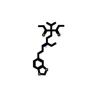 CCC(=O)C(CC/C(=C/CCc1ccc2c(c1)OCO2)CC)(C(=O)CC)C(C)C